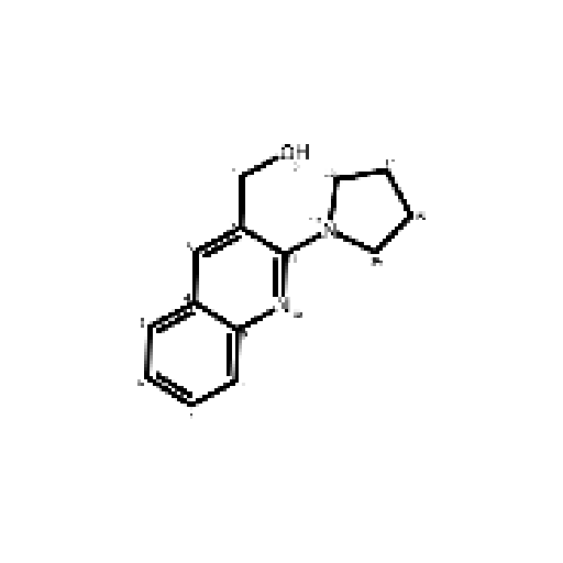 OCc1cc2ccccc2nc1N1CCCC1